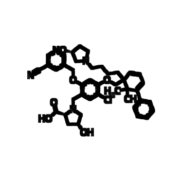 CC1(C)C(c2ccccc2)=CC=CC1(CCCCN1CC[C@@H](O)C1)COc1cc(OCc2cncc(C#N)c2)c(CN2C[C@@H](O)C[C@H]2C(=O)O)cc1Cl